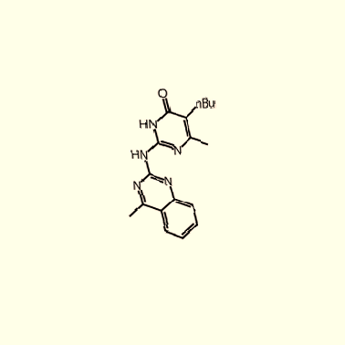 CCCCc1c(C)nc(Nc2nc(C)c3ccccc3n2)[nH]c1=O